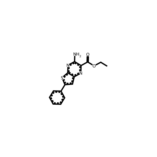 CCOC(=O)c1nc2cc(-c3ccccc3)sc2nc1N